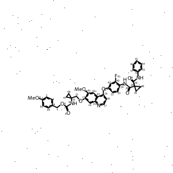 COc1ccc(COC(=O)NC2(COc3cc4nccc(Oc5ccc(NC(=O)C6(C(=O)Nc7ccccc7)CC6)c(F)c5)c4cc3OC)CC2)cc1